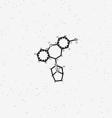 CN1C2CCC1CN(C1Cc3cc(Br)ccc3Oc3ccccc31)C2